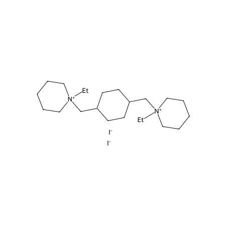 CC[N+]1(CC2CCC(C[N+]3(CC)CCCCC3)CC2)CCCCC1.[I-].[I-]